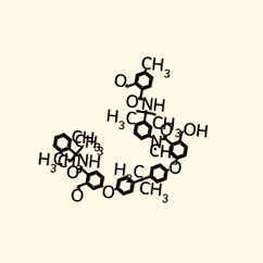 CCC(CC)(NC(=O)c1ccc(C)cc1C=O)c1cccc(N(C)C(=O)c2cc(Oc3ccc(C(C)(C)c4ccc(Oc5ccc(C(=O)NC(CC)(CC)c6c(C)cccc6C)c(C=O)c5)cc4)cc3)ccc2CO)c1